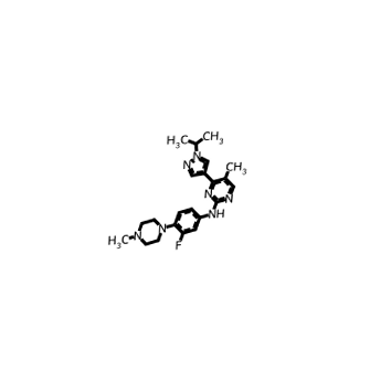 Cc1cnc(Nc2ccc(N3CCN(C)CC3)c(F)c2)nc1-c1cnn(C(C)C)c1